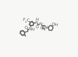 Cc1ccccc1CC(=O)Nc1cc(NC(=O)[N-]c2c[n+]([C@@H]3CCC[C@@H](O)C3)no2)cc(C(F)(F)F)c1